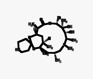 CC[C@H]1OC(=O)[C@H](C)[C@@H]2C[C@@H](C)[C@](C)(C[C@@H](C)CN(C)[C@H](C)[C@@H](O)[C@]1(C)O)OC1(CCNCC1)O2